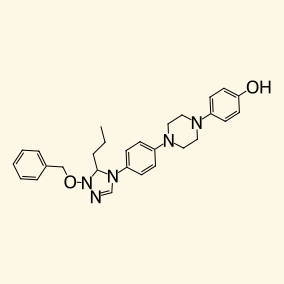 CCCC1N(OCc2ccccc2)N=CN1c1ccc(N2CCN(c3ccc(O)cc3)CC2)cc1